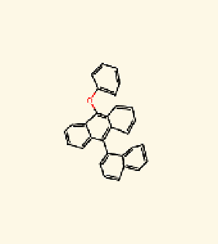 c1ccc(Oc2c3ccccc3c(-c3cccc4ccccc34)c3ccccc23)cc1